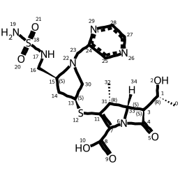 C[C@@H](O)[C@H]1C(=O)N2C(C(=O)O)=C(S[C@H]3C[C@@H](CNS(N)(=O)=O)N(Cc4cnccn4)C3)[C@H](C)[C@H]12